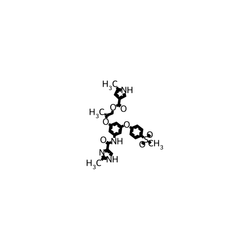 Cc1cc(C(=O)OC[C@H](C)Oc2cc(NC(=O)c3c[nH]c(C)n3)cc(Oc3ccc(S(C)(=O)=O)cc3)c2)c[nH]1